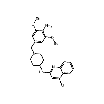 CCOc1cc(CN2CCC(Nc3cc(Cl)c4ccccc4n3)CC2)cc(OCC)c1N